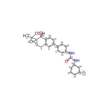 CC(C)(C(=O)O)C1CCc2cc(-c3ccc(NC(=O)Nc4cccc(Cl)c4)cc3)ccc2C1=O